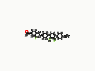 CCCC1CCC(C2=CCC(C3CCC(CCC4CCC(C5CO5)C=C4F)CC3)C(F)=C2F)CC1